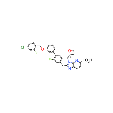 O=C(O)c1ccc2nc(Cc3ccc(-c4cccc(OCc5ccc(Cl)cc5F)c4)c(F)c3)n(C[C@@H]3CCO3)c2n1